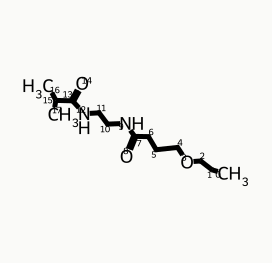 CCCOCCCC(=O)NCCNC(=O)C(C)C